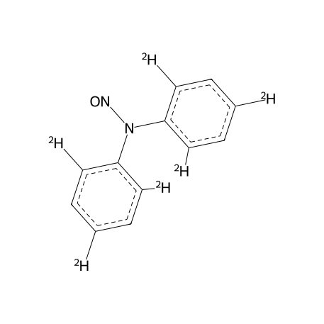 [2H]c1cc([2H])c(N(N=O)c2c([2H])cc([2H])cc2[2H])c([2H])c1